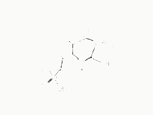 N[C@@H]1C(O)O[C@H](CCP(=O)(O)O)[C@@H](O)[C@@H]1O